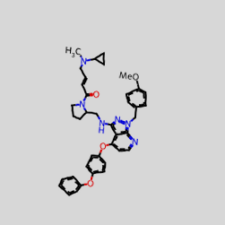 COc1ccc(Cn2nc(NCC3CCCN3C(=O)C=CCN(C)C3CC3)c3c(Oc4ccc(Oc5ccccc5)cc4)ccnc32)cc1